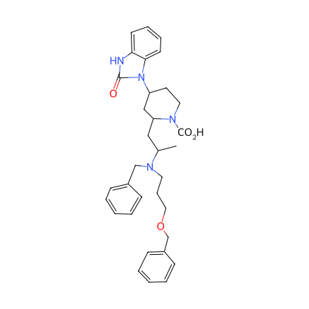 CC(CC1CC(n2c(=O)[nH]c3ccccc32)CCN1C(=O)O)N(CCCOCc1ccccc1)Cc1ccccc1